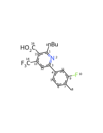 CCCCc1nc(-c2ccc(C)c(F)c2)cc(C(F)(F)F)c1C(=O)O